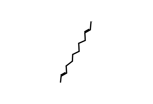 [CH2]C=CCCCCCCC=CC